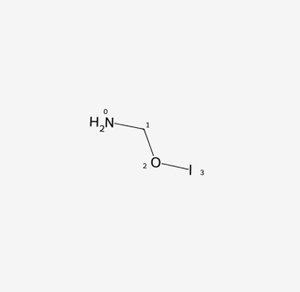 NCOI